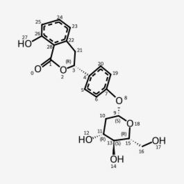 O=C1O[C@@H](c2ccc(O[C@H]3C[C@@H](O)[C@H](O)[C@@H](CO)O3)cc2)Cc2cccc(O)c21